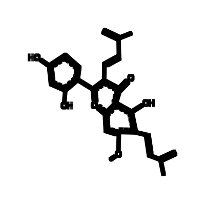 C=C(C)C=Cc1c(OC)cc2oc(-c3ccc(O)cc3O)c(C=CC(=C)C)c(=O)c2c1O